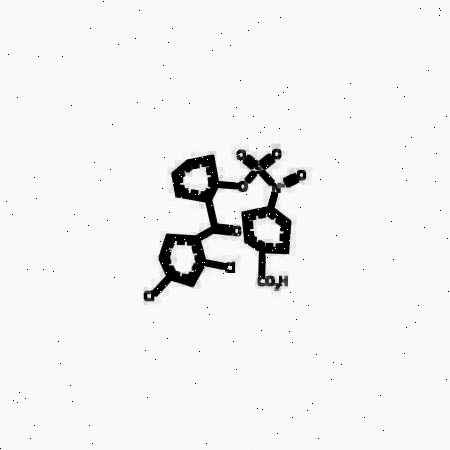 O=C(O)c1ccc([N+](=O)S(=O)(=O)Oc2ccccc2C(=O)c2ccc(Cl)cc2Cl)cc1